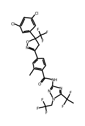 Cc1cc(C2=NOC(c3cc(Cl)cc(Cl)c3)(C(F)(F)F)C2)ccc1C(=O)Nc1nc(C(C)(F)F)n(CC(F)(F)F)n1